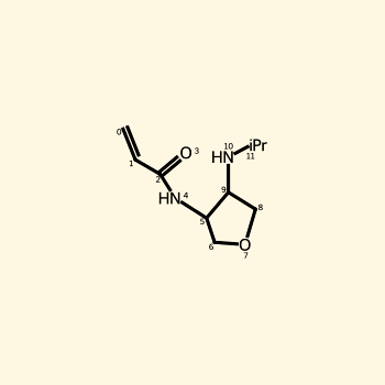 C=CC(=O)NC1COCC1NC(C)C